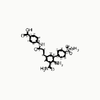 NC(=O)c1cc(/C=C/C(=O)Nc2ccc(C(=O)O)cc2)cc(-c2ccc(S(N)(=O)=O)cc2)c1N